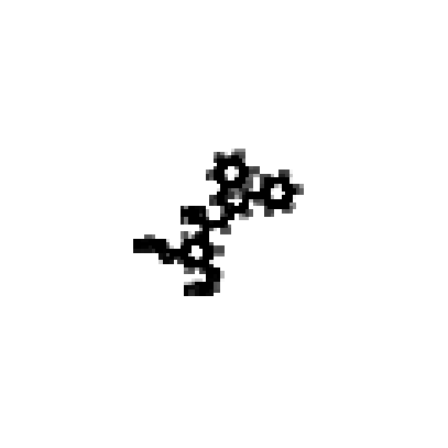 CCCCOc1cc(OCCCC)cc(C(O)CN(CCc2ccccc2)Cc2ccccc2)c1